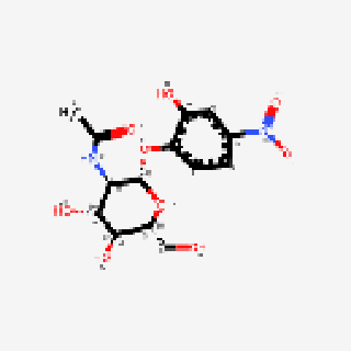 CC(=O)N[C@H]1[C@H](Oc2ccc([N+](=O)[O-])cc2O)O[C@H](CO)[C@@H](O)[C@@H]1O